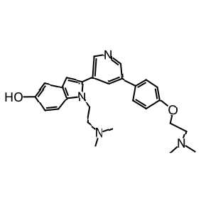 CN(C)CCOc1ccc(-c2cncc(-c3cc4cc(O)ccc4n3CCN(C)C)c2)cc1